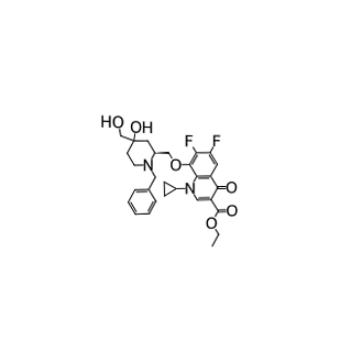 CCOC(=O)c1cn(C2CC2)c2c(OC[C@@H]3CC(O)(CO)CCN3Cc3ccccc3)c(F)c(F)cc2c1=O